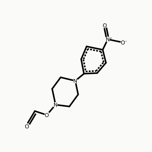 O=CON1CCN(c2ccc([N+](=O)[O-])cc2)CC1